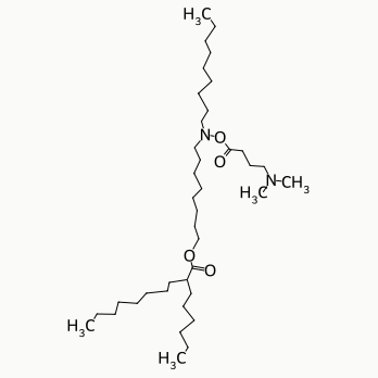 CCCCCCCCCN(CCCCCCCCOC(=O)C(CCCCCC)CCCCCCCC)OC(=O)CCCN(C)C